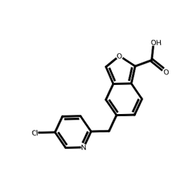 O=C(O)c1occ2cc(Cc3ccc(Cl)cn3)ccc12